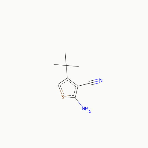 CC(C)(C)c1csc(N)c1C#N